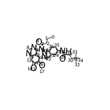 CCCC(=O)N(c1ncnc2cc(OC)c(OC)cc12)n1ncc2cc(NC(=O)CCC(C)(C)C)ccc21